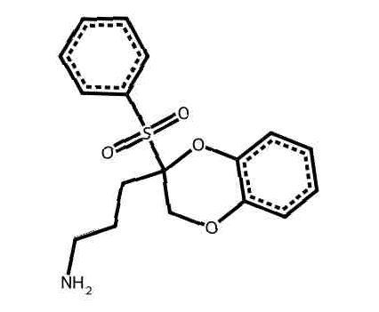 NCCCC1(S(=O)(=O)c2ccccc2)COc2ccccc2O1